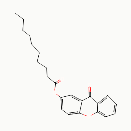 CCCCCCCCCC(=O)Oc1ccc2oc3ccccc3c(=O)c2c1